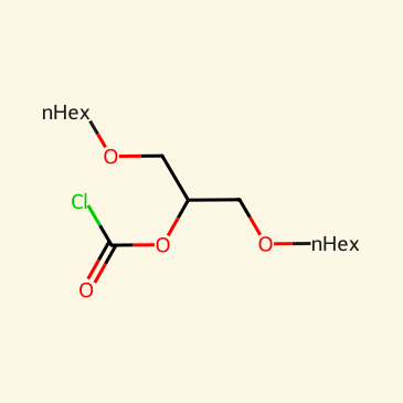 CCCCCCOCC(COCCCCCC)OC(=O)Cl